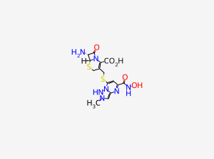 CN1C=C2N=C(C(=O)NO)C=C(SCC3=C(C(=O)O)N4C(=O)[C@@H](N)[C@H]4SC3)N2N1